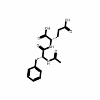 CC(=O)N[C@H](Cc1ccccc1)C(=O)N[C@@H](CCC(=O)O)C(=O)O